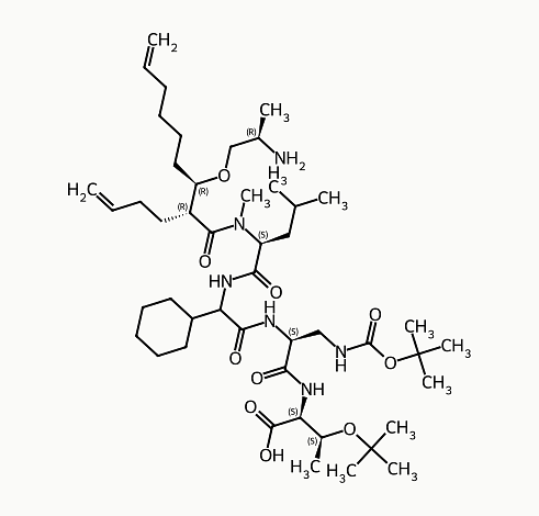 C=CCCCC[C@@H](OC[C@@H](C)N)[C@@H](CCC=C)C(=O)N(C)[C@@H](CC(C)C)C(=O)NC(C(=O)N[C@@H](CNC(=O)OC(C)(C)C)C(=O)N[C@H](C(=O)O)[C@H](C)OC(C)(C)C)C1CCCCC1